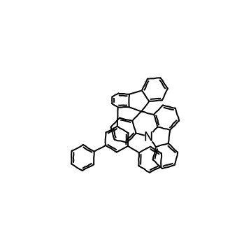 c1ccc(-c2cc(-c3ccccc3)cc(-c3cccc4c3C3(c5ccccc5-4)c4ccccc4-n4c5ccccc5c5cccc3c54)c2)cc1